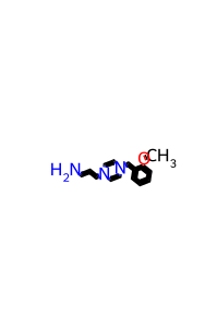 COc1ccccc1CN1CCN(CCCN)CC1